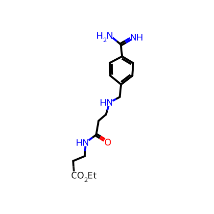 CCOC(=O)CCNC(=O)CCNCc1ccc(C(=N)N)cc1